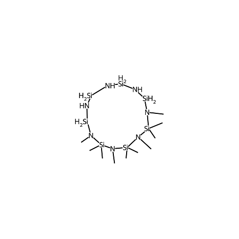 CN1[SiH2]N[SiH2]N[SiH2]N[SiH2]N(C)[Si](C)(C)N(C)[Si](C)(C)N(C)[Si]1(C)C